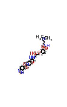 CN(C)CCCNS(=O)(=O)c1cccc(OCC(O)CNC2COC3(CCN(S(=O)(=O)c4ccc5nsnc5c4)CC3)C2)c1